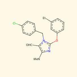 CCc1cccc(Oc2nc(NC)c(C=O)n2Cc2ccc(Cl)cc2)c1